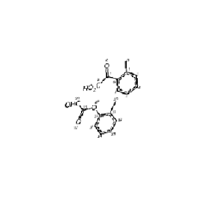 Cc1ccccc1C(=O)C(=O)O.Cc1ccccc1OC(=O)C=O